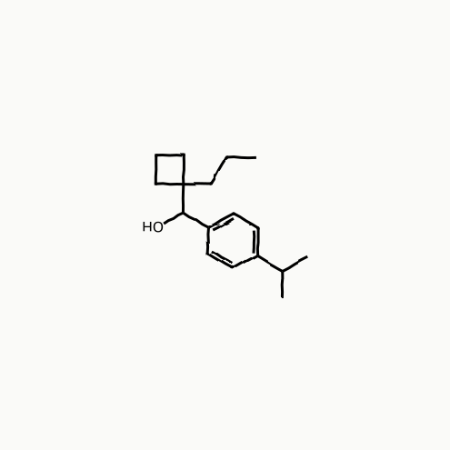 CCCC1(C(O)c2ccc(C(C)C)cc2)CCC1